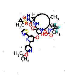 CC(C)Oc1ccc(-c2cc(O[C@@H]3C[C@H]4C(=O)N[C@]5(C(=O)NS(=O)(=O)C6(C)CC6)C[C@H]5C=CCC[C@@H](C)C[C@@H](C)[C@H](N(C(=O)O)C(C)(C)C(F)(F)F)C(=O)N4C3)cc(-c3nccs3)n2)cn1